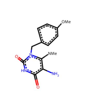 CNc1c(N)c(=O)[nH]c(=O)n1Cc1ccc(OC)cc1